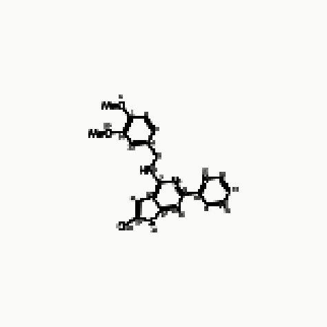 COc1ccc(CNc2nc(-c3cnccn3)nc3sc(Cl)cc23)cc1OC